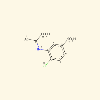 CC(=O)C(Nc1cc(S(=O)(=O)O)ccc1Cl)C(=O)O